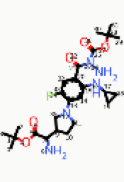 CC(C)(C)OC(=O)C(N)C1CCN(c2cc(NC3CC3)c(C(=O)N(N)C(=O)OC(C)(C)C)cc2F)C1